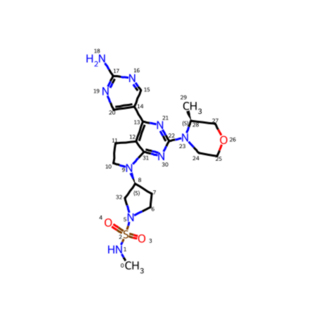 CNS(=O)(=O)N1CC[C@H](N2CCc3c(-c4cnc(N)nc4)nc(N4CCOC[C@@H]4C)nc32)C1